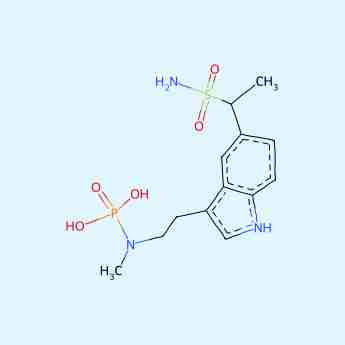 CC(c1ccc2[nH]cc(CCN(C)P(=O)(O)O)c2c1)S(N)(=O)=O